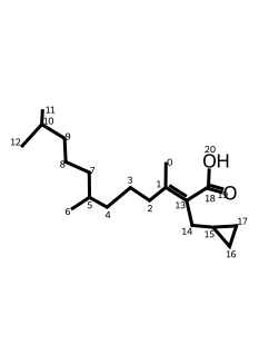 CC(CCCC(C)CCCC(C)C)=C(CC1CC1)C(=O)O